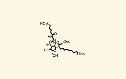 CCCCCCCCCCCCCCCCCCN(C(=O)CCCCCCCCCCC)[C@@H]1O[C@H](CO)[C@@H](O)[C@H](O)[C@H]1NC(=O)CNC(=O)CCCCC(=O)O